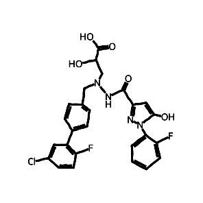 O=C(NN(Cc1ccc(-c2cc(Cl)ccc2F)cc1)CC(O)C(=O)O)c1cc(O)n(-c2ccccc2F)n1